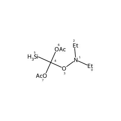 CCN(CC)OC([SiH3])(OC(C)=O)OC(C)=O